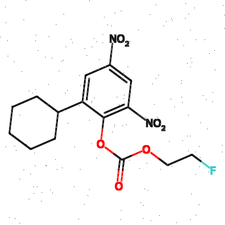 O=C(OCCF)Oc1c(C2CCCCC2)cc([N+](=O)[O-])cc1[N+](=O)[O-]